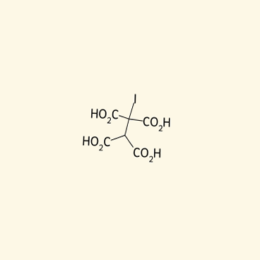 O=C(O)C(C(=O)O)C(I)(C(=O)O)C(=O)O